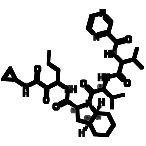 CCCC(NC(=O)[C@@H]1C[C@@H]2CCCC[C@@H]2N1C(=O)[C@@H](NC(=O)C(NC(=O)c1cnccn1)C(C)C)C(C)C)C(=O)C(=O)NC1CC1